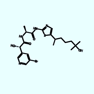 CC(CCCC(C)(C)O)c1cnc(NC(=O)[C@H](C)NC(=O)[C@@H](O)c2cncc(Br)c2)s1